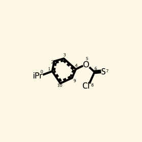 CC(C)c1ccc(OC(=S)Cl)cc1